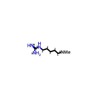 CNCCCCCNC(=N)N